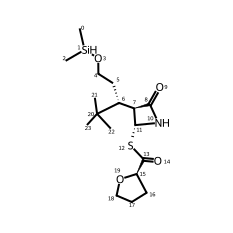 C[SiH](C)OCC[C@H]([C@H]1C(=O)N[C@@H]1SC(=O)[C@H]1CCCO1)C(C)(C)C